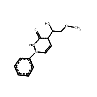 COCC(O)C1C=CN(c2ccccc2)NC1=O